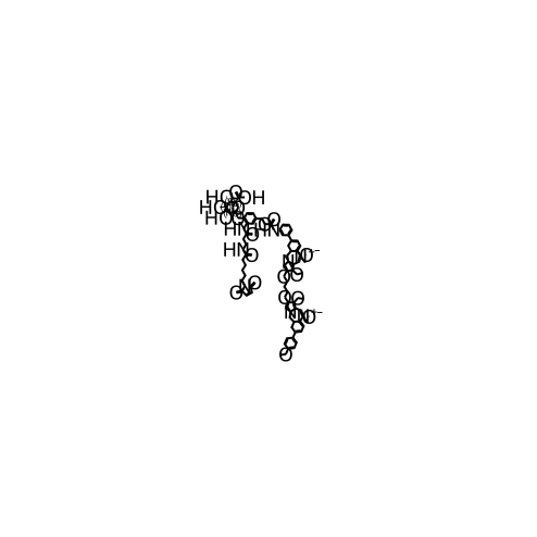 COc1ccc(C2=CC=C3C(C2)Cn2cc(OCCCOc4cn5c(c4OC)C=[N+]([O-])C4=CC=C(c6cccc(NC(=O)OCc7ccc(O[C@@H]8O[C@H](C(=O)O)[C@@H](O)[C@H](O)[C@H]8O)c(NC(=O)CCNC(=O)CCCCCN8C(=O)C=CC8=O)c7)c6)CC4C5)c(OC)c2C=[N+]3[O-])cc1